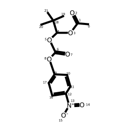 CC(=O)OC(OC(=O)Oc1ccc([N+](=O)[O-])cc1)C(C)(C)C